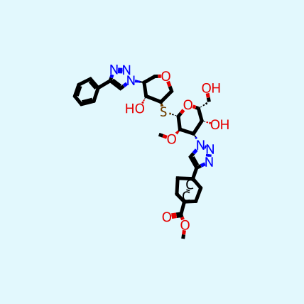 COC(=O)C12CCC(c3cn([C@H]4[C@@H](O)[C@@H](CO)O[C@@H](S[C@@H]5COC[C@H](n6cc(-c7ccccc7)nn6)[C@H]5O)[C@@H]4OC)nn3)(CC1)CC2